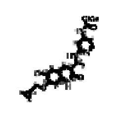 COC(=O)Nc1ccnc(N[C@@H](C)c2cc3cc(Cl)c(OCC4CC4)cc3[nH]c2=O)c1